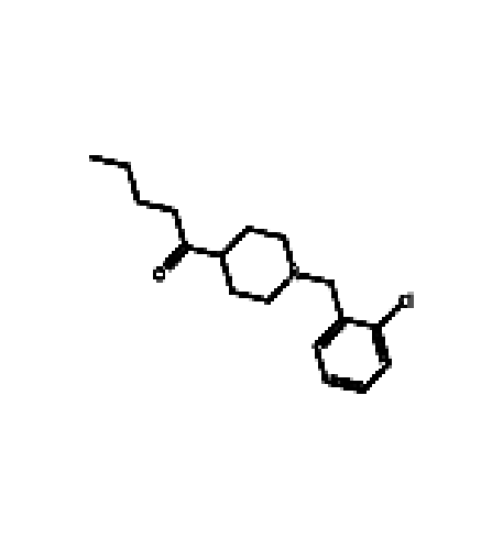 CCCCC(=O)C1CCN(Cc2ccccc2Cl)CC1